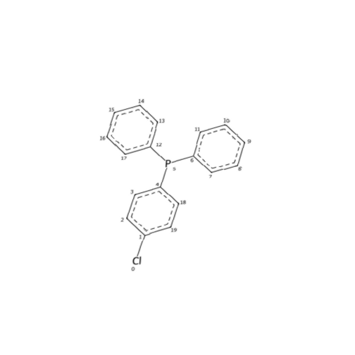 Clc1ccc(P(c2ccccc2)c2ccccc2)cc1